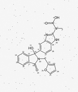 CN(C(=O)O)c1nc2cc(C3(O)c4ccccc4C(=O)N3Cc3ccco3)ccc2[nH]1